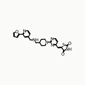 O=C1NC(=O)/C(=C/c2ccnc(N3CCC(CNCc4ccnc(-c5ccco5)c4)CC3)n2)S1